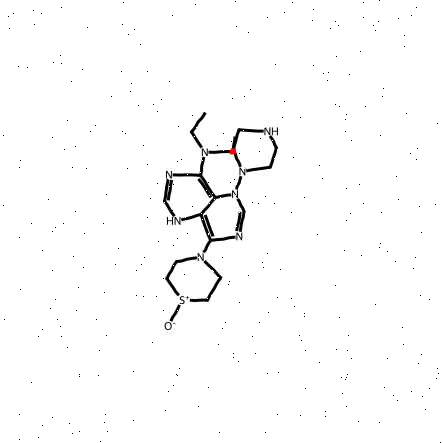 CCN(CC)C1=C2C(=C(N3CC[S+]([O-])CC3)N=CN2N2CCNCC2)NC=N1